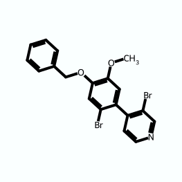 COc1cc(-c2ccncc2Br)c(Br)cc1OCc1ccccc1